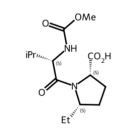 CC[C@H]1CC[C@@H](C(=O)O)N1C(=O)[C@@H](NC(=O)OC)C(C)C